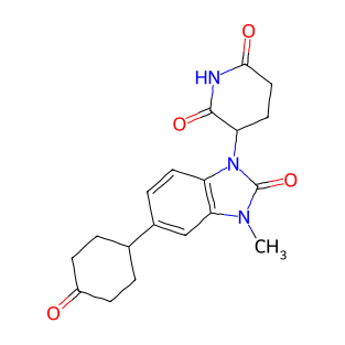 Cn1c(=O)n(C2CCC(=O)NC2=O)c2ccc(C3CCC(=O)CC3)cc21